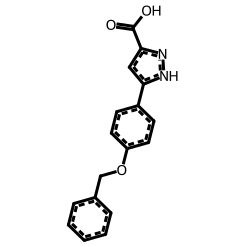 O=C(O)c1cc(-c2ccc(OCc3ccccc3)cc2)[nH]n1